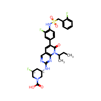 CCC(C)n1c(=O)c(-c2ccc(NS(=O)(=O)Cc3ccccc3F)c(F)c2)cc2cnc(N[C@H]3C[C@H](F)CN(C(=O)O)C3)nc21